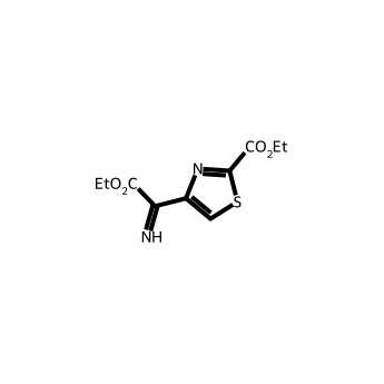 CCOC(=O)C(=N)c1csc(C(=O)OCC)n1